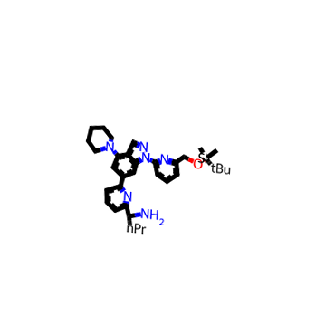 CCCC(N)c1cccc(-c2cc(N3CCCCC3)c3cnn(-c4cccc(CO[Si](C)(C)C(C)(C)C)n4)c3c2)n1